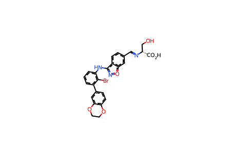 O=C(O)[C@@H](CO)N=Cc1ccc2c(Nc3cccc(-c4ccc5c(c4)OCCO5)c3Br)noc2c1